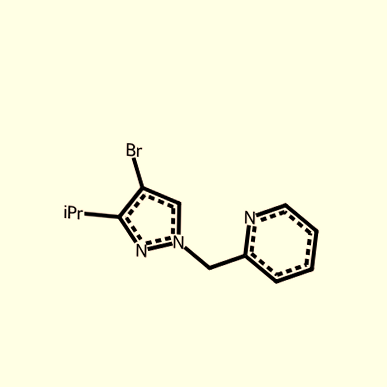 CC(C)c1nn(Cc2ccccn2)cc1Br